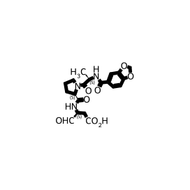 C[C@H](NC(=O)c1ccc2c(c1)OCO2)C(=O)N1CCC[C@H]1C(=O)N[C@H](C=O)CC(=O)O